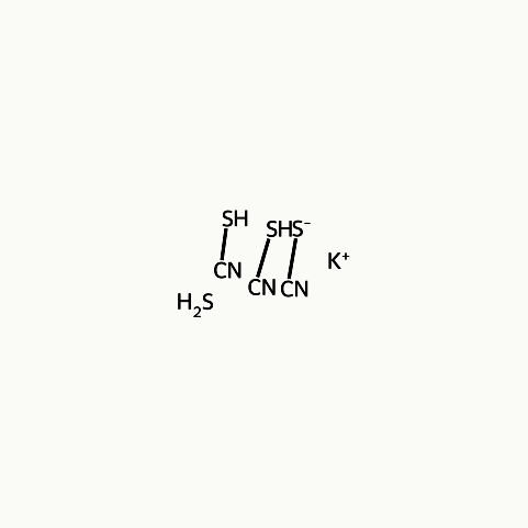 N#CS.N#CS.N#C[S-].S.[K+]